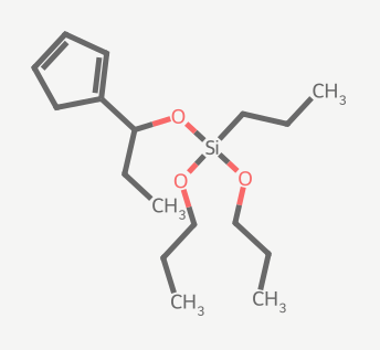 CCCO[Si](CCC)(OCCC)OC(CC)C1=CC=CC1